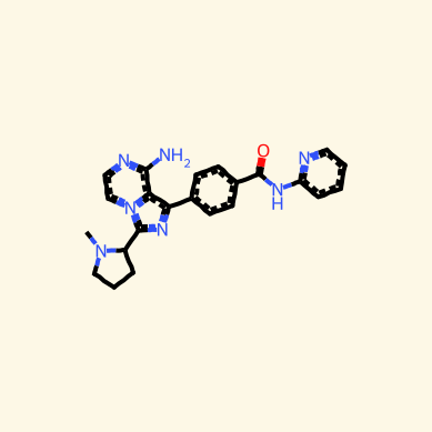 CN1CCCC1c1nc(-c2ccc(C(=O)Nc3ccccn3)cc2)c2c(N)nccn12